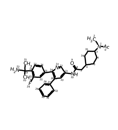 CC(=O)N(C)C1CCC(CC(=O)Nc2cnc(-c3ccc(C(C)(C)N)c(F)c3)c(-c3ccccc3)c2)CC1